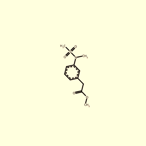 COC(=O)Cc1cccc(N(C)S(C)(=O)=O)c1